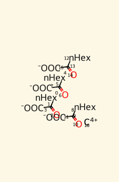 CCCCCCC(=O)C(=O)[O-].CCCCCCC(=O)C(=O)[O-].CCCCCCC(=O)C(=O)[O-].CCCCCCC(=O)C(=O)[O-].[C+4]